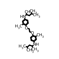 Cc1cc(NC(C)CC(C)C)ccc1OCCOc1ccc(NC(C)CC(C)C)cc1C